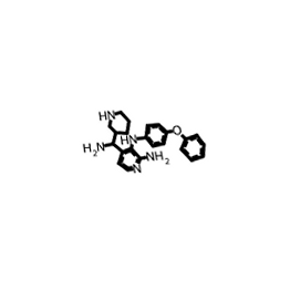 Nc1nccc(C(N)C2CCCNC2)c1Nc1ccc(Oc2ccccc2)cc1